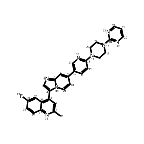 Cc1cc(-c2cnc3cc(-c4ccc(N5CCN(c6ncccn6)CC5)nc4)ccn23)c2cc(F)ccc2n1